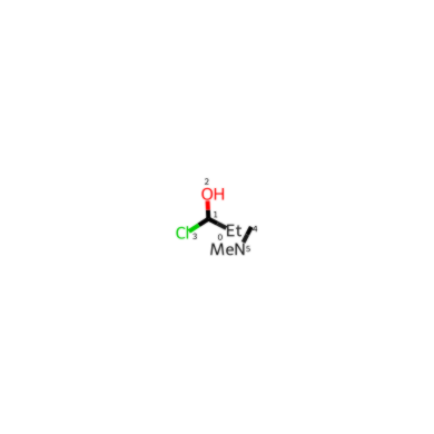 CCC(O)Cl.CNC